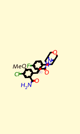 COc1cc(/C=C/C(=O)N2CC3COCC(C2)N3Cc2ccc(F)cc2)c(C(N)=O)cc1Cl